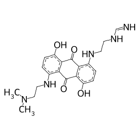 CN(C)CCNc1ccc(O)c2c1C(=O)c1c(O)ccc(NCCNC=N)c1C2=O